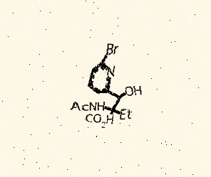 CCC(NC(C)=O)(C(=O)O)C(O)c1cccc(Br)n1